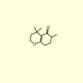 CC1CCC2=C(C1=O)C(C)(C)CCO2